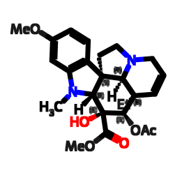 CC[C@]12C=CCN3CC[C@]4(c5ccc(OC)cc5N(C)[C@H]4[C@@](O)(C(=O)OC)[C@@H]1OC(C)=O)[C@@H]32